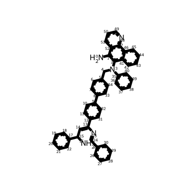 Nc1c(N(Cc2ccc(-c3ccc(C(=C/C(N)c4ccccc4)/N=C/c4ccccc4)cc3)cc2)c2ccccc2)c2ccccc2c2ncccc12